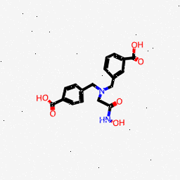 O=C(CN(Cc1ccc(C(=O)O)cc1)Cc1cccc(C(=O)O)c1)NO